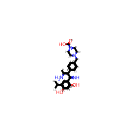 C/C(N)=C(/C(=N)c1cc(C(C)C)c(O)cc1O)c1ccc(CN2CCN(C(=O)O)CC2)cc1